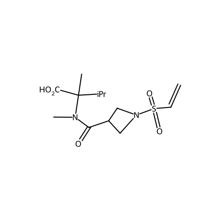 C=CS(=O)(=O)N1CC(C(=O)N(C)C(C)(C(=O)O)C(C)C)C1